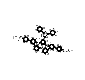 O=C(O)c1ccc(-c2ccc3c(c2)c2cccc4c2n3-c2cc(-c3nc(-c5ccccc5)nc(-c5ccccc5)n3)cc3c2B4c2cccc4c5cc(-c6ccc(C(=O)O)cc6)ccc5n-3c24)cc1